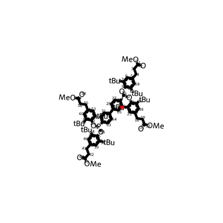 COC(=O)CCc1cc(C(C)(C)C)c(OP(Oc2c(C(C)(C)C)cc(CCC(=O)OC)cc2C(C)(C)C)c2ccc(-c3ccc(P(Oc4c(C(C)(C)C)cc(CCC(=O)OC)cc4C(C)(C)C)Oc4c(C(C)(C)C)cc(CCC(=O)OC)cc4C(C)(C)C)cc3)cc2)c(C(C)(C)C)c1